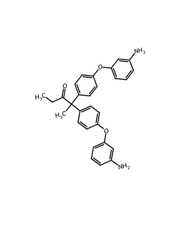 CCC(=O)C(C)(c1ccc(Oc2cccc(N)c2)cc1)c1ccc(Oc2cccc(N)c2)cc1